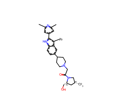 Cc1cc(-c2[nH]c3ccc(C4CCN(CC(=O)N5C[C@H](C(F)(F)F)C[C@@H]5CO)CC4)cc3c2C(C)C)cc(C)n1